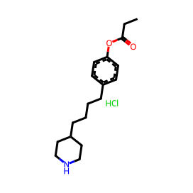 CCC(=O)Oc1ccc(CCCCC2CCNCC2)cc1.Cl